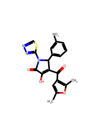 Cc1cc(C(=O)C2=C(O)C(=O)N(c3nncs3)C2c2cccc([N+](=O)[O-])c2)c(C)o1